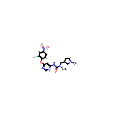 CN1CCC(CN(C)C(=O)Nc2cc(Oc3ccc([N+](=O)[O-])cc3F)ncn2)C1